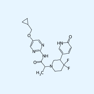 CC(C(=O)Nc1ncc(OCC2CC2)cn1)N1CCC(F)(F)C(c2ccc(=O)[nH]c2)C1